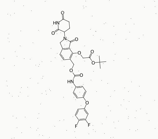 CC(C)(C)OC(=O)COc1c(COC(=O)Nc2ccc(Oc3ccc(F)c(F)c3)cc2)ccc2c1C(=O)N(C1CCC(=O)NC1=O)C2